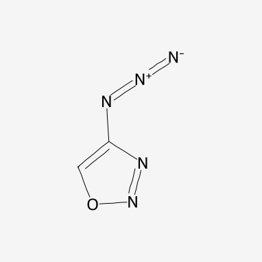 [N-]=[N+]=Nc1conn1